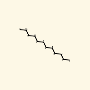 [CH2]CC[CH]CCCCCCC[CH2]